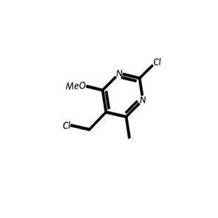 COc1nc(Cl)nc(C)c1CCl